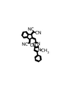 Cn1c(-c2ccccc2)cc2sc(C=C3C(=C(C#N)C#N)c4ccccc4C3=C(C#N)C#N)nc21